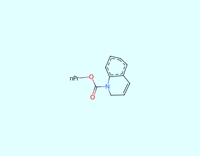 CCCOC(=O)N1CC=Cc2ccccc21